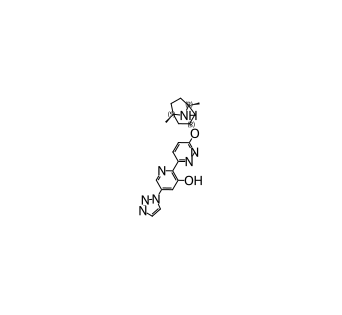 C[C@]12CC[C@](C)(C[C@H](Oc3ccc(-c4ncc(-n5ccnn5)cc4O)nn3)C1)N2